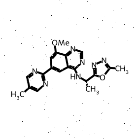 COc1cc(-c2ncc(C)cn2)cc2c(N[C@H](C)c3nnc(C)o3)ncnc12